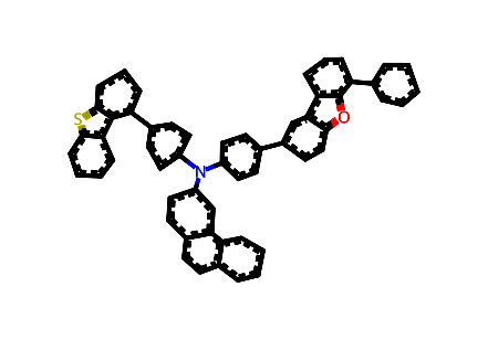 c1ccc(-c2cccc3c2oc2ccc(-c4ccc(N(c5ccc(-c6cccc7sc8ccccc8c67)cc5)c5ccc6ccc7ccccc7c6c5)cc4)cc23)cc1